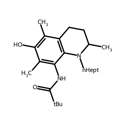 CCCCCCCN1c2c(c(C)c(O)c(C)c2NC(=O)C(C)(C)C)CCC1C